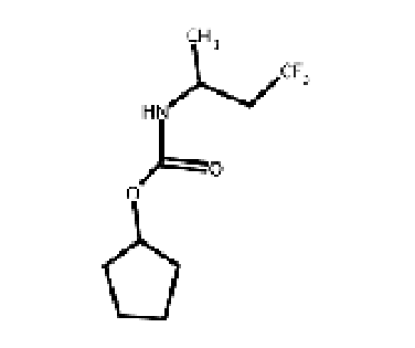 CC(CC(F)(F)F)NC(=O)OC1CCCC1